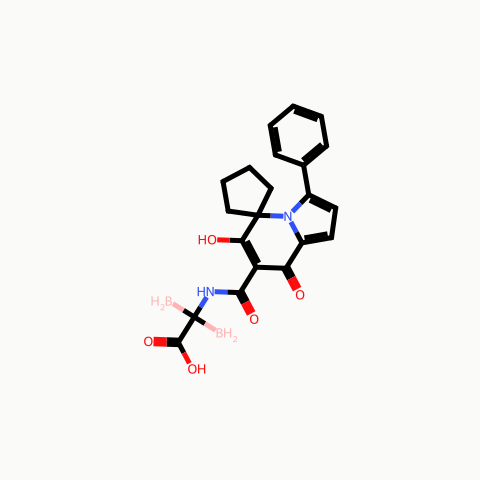 BC(B)(NC(=O)C1=C(O)C2(CCCC2)n2c(ccc2-c2ccccc2)C1=O)C(=O)O